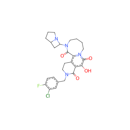 O=C1c2c(c3n(c(=O)c2O)CCCCN(C2CC4CCCN42)C3=O)CCN1Cc1ccc(F)c(Cl)c1